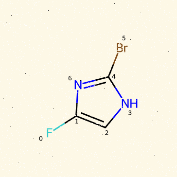 Fc1c[nH]c(Br)n1